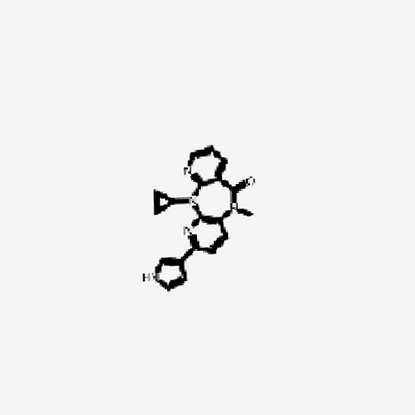 CN1C(=O)c2cccnc2N(C2CC2)c2nc(-c3cc[nH]c3)ccc21